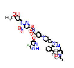 COc1cc(CN2CCN(C3CC4(CCN(c5ccc(C(=O)NS(=O)(=O)c6cnc(NCC7CCC(C)(O)CC7)c([N+](=O)[O-])c6)c(Oc6cnc7[nH]cc(F)c7c6)c5)CC4)C3)[C@H](c3ccccc3C(C)C)C2)ccn1